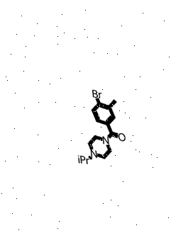 Cc1cc(C(=O)N2CCN(C(C)C)CC2)ccc1Br